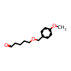 COc1ccc(COCCCCC=O)cc1